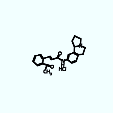 CC(=O)c1ccccc1C=CC(=O)Nc1ccc2c(c1)C1CCCN1CC2.Cl